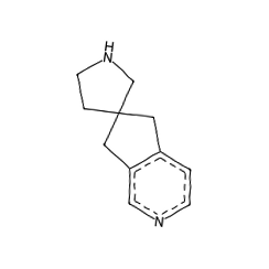 c1cc2c(cn1)CC1(CCNC1)C2